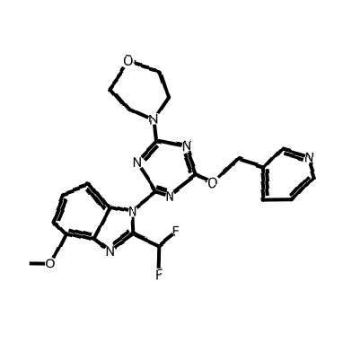 COc1cccc2c1nc(C(F)F)n2-c1nc(OCc2cccnc2)nc(N2CCOCC2)n1